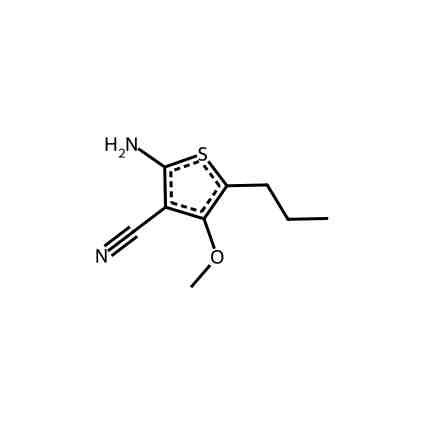 CCCc1sc(N)c(C#N)c1OC